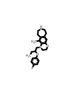 CCC(CN1CCOc2cc3c(c(C)c21)CCNCC3)Oc1ccc(F)cc1